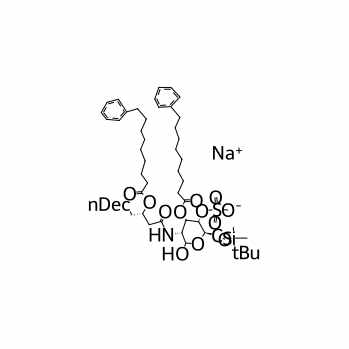 CCCCCCCCCCC[C@@H](CC(=O)N[C@H]1C(O)O[C@H](CO[Si](C)(C)C(C)(C)C)[C@@H](OS(=O)(=O)[O-])[C@@H]1OC(=O)CCCCCCCCc1ccccc1)OC(=O)CCCCCCCCc1ccccc1.[Na+]